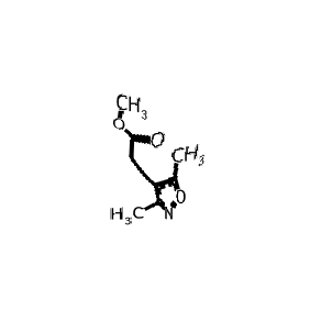 COC(=O)Cc1c(C)noc1C